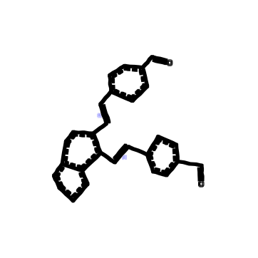 O=Cc1ccc(/C=C/c2ccc3ccccc3c2/C=C/c2ccc(C=O)cc2)cc1